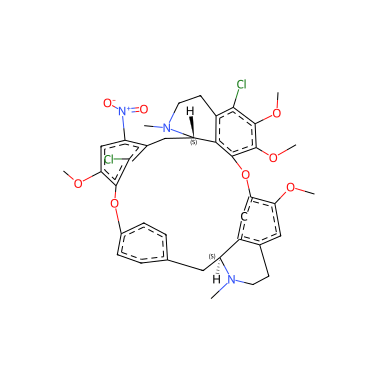 COc1cc2c3cc1Oc1c(OC)c(OC)c(Cl)c4c1[C@H](Cc1c([N+](=O)[O-])cc(OC)c(c1Cl)Oc1ccc(cc1)C[C@@H]3N(C)CC2)N(C)CC4